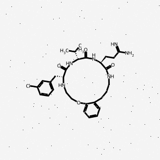 CC(C)[C@H]1NC(=O)[C@@H](Cc2cccc(Cl)c2)NCCOc2ccccc2CCCNC(=O)[C@H](CCC(=N)N)NC1=O